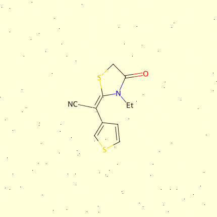 CCN1C(=O)CSC1=C(C#N)c1ccsc1